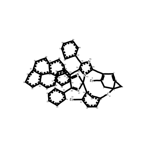 CCC1=C2C=C3CC3(C1)Cc1ccc(CC)c(c1)C1(N=C(c3ccccc3)C(c3ccc4ccc5cccc6ccc3c4c56)=N1)n1c2nc(-c2ccccc2)c1-c1ccccc1